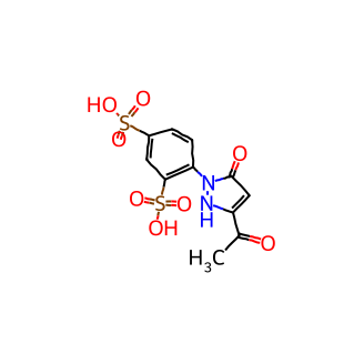 CC(=O)c1cc(=O)n(-c2ccc(S(=O)(=O)O)cc2S(=O)(=O)O)[nH]1